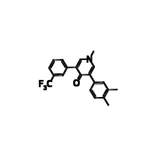 Cc1ccc(-c2cn(C)cc(-c3cccc(C(F)(F)F)c3)c2=O)cc1C